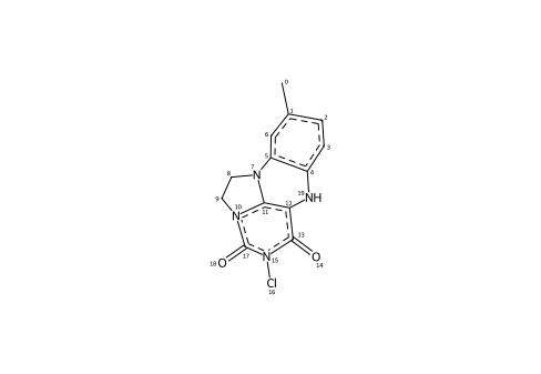 Cc1ccc2c(c1)N1CCn3c1c(c(=O)n(Cl)c3=O)N2